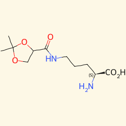 CC1(C)OCC(C(=O)NCCC[C@H](N)C(=O)O)O1